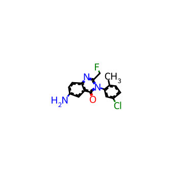 Cc1ccc(Cl)cc1-n1c(CF)nc2ccc(N)cc2c1=O